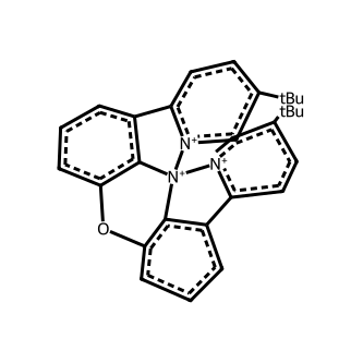 CC(C)(C)c1ccc2[n+](c1)[N+]13c4c(cccc4-2)Oc2cccc(c21)-c1ccc(C(C)(C)C)c[n+]13